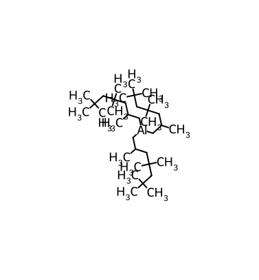 CC([CH2][Al]([CH2]C(C)CC(C)(C)CC(C)(C)C)[CH2]C(C)CC(C)(C)CC(C)(C)C)CC(C)(C)CC(C)(C)C